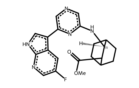 COC(=O)C1C2CCC(CC2)[C@@H]1Nc1cncc(-c2c[nH]c3ncc(F)cc23)n1